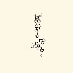 CCCCOC(=O)c1ccc2c3ccc4c5c(ccc(c6ccc(C(=O)OCCCC)c1c26)c53)C(=O)N(CCc1ccc(Oc2cc3c5c(ccc6c7c(Oc8ccc(CCN)cc8)cc8c9c(ccc(c2c56)c97)C(=O)N(CCO)C8=O)COC3)cc1)C4=O